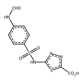 O=CNc1ccc(S(=O)(=O)Nc2nnc(C(=O)O)s2)cc1